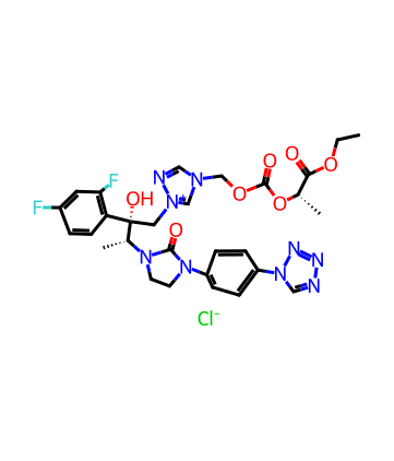 CCOC(=O)[C@H](C)OC(=O)OCn1cn[n+](C[C@](O)(c2ccc(F)cc2F)[C@@H](C)N2CCN(c3ccc(-n4cnnn4)cc3)C2=O)c1.[Cl-]